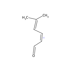 CC(C)=C/C=C\C=O